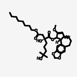 CCCCCCCCOC(=O)C[C@](O)(CCCC(C)(C)O)C(=O)OC1C(OC)=CC23CCCN2CCc2cc4c(cc2[C@H]13)OCO4